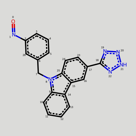 O=Nc1cccc(Cn2c3ccccc3c3cc(-c4nn[nH]n4)ccc32)c1